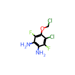 Nc1c(N)c(F)c(OCCl)c(Cl)c1F